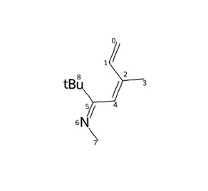 C=C/C(C)=C\C(=N/C)C(C)(C)C